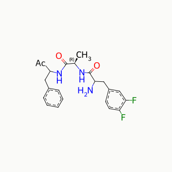 CC(=O)C(Cc1ccccc1)NC(=O)[C@@H](C)NC(=O)C(N)Cc1ccc(F)c(F)c1